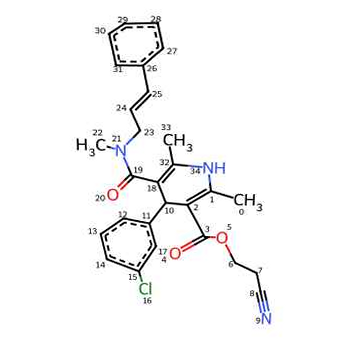 CC1=C(C(=O)OCCC#N)C(c2cccc(Cl)c2)C(C(=O)N(C)C/C=C/c2ccccc2)=C(C)N1